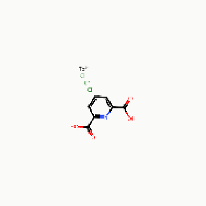 O=C(O)c1cccc(C(=O)O)n1.[Cl-].[Cl-].[Cl-].[Tb+3]